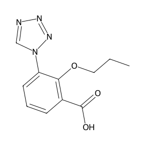 CCCOc1c(C(=O)O)cccc1-n1cnnn1